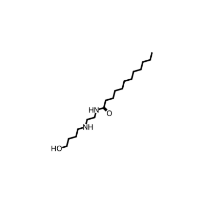 CCCCCCCCCCCC(=O)NCCNCCCCO